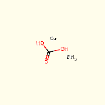 O=C(O)O.[BiH3].[Cu]